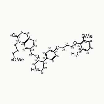 COCCCN1C(=O)CCc2ccc(CO[C@H]3CNCC[C@@H]3c3ccc(OCCCOc4c(C)cccc4OC)cc3)cc21